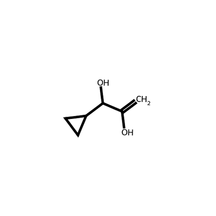 C=C(O)C(O)C1CC1